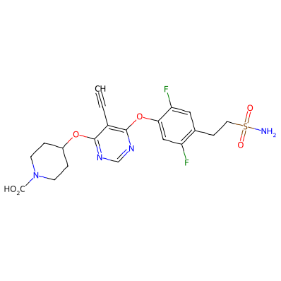 C#Cc1c(Oc2cc(F)c(CCS(N)(=O)=O)cc2F)ncnc1OC1CCN(C(=O)O)CC1